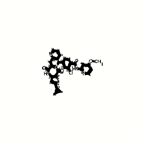 COc1ccnc(NC(=O)c2ccc(CN3C(=O)c4sc(C5CC5)cc4NC(=O)C3Cc3ccccn3)cc2Cl)c1